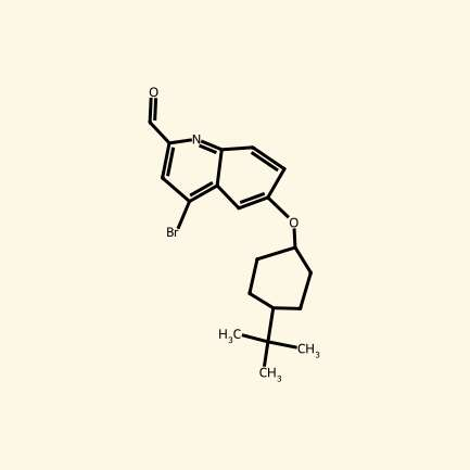 CC(C)(C)C1CCC(Oc2ccc3nc(C=O)cc(Br)c3c2)CC1